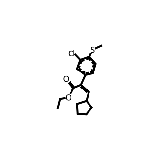 CCOC(=O)/C(=C\C1CCCC1)c1ccc(SC)c(Cl)c1